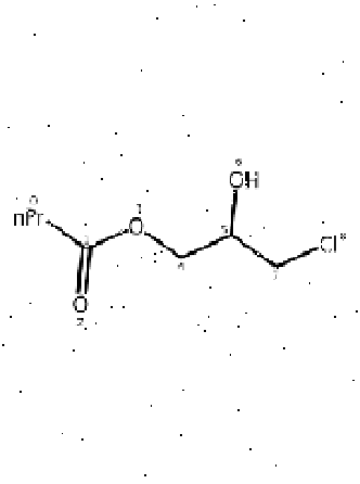 CCCC(=O)OCC(O)CCl